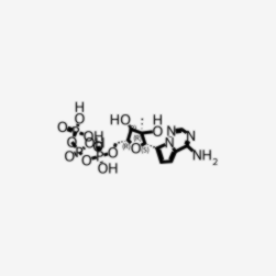 C[C@@]1(O)[C@H](O)[C@@H](COP(=O)(O)OP(=O)(O)OP(=O)(O)O)O[C@H]1c1ccc2c(N)ncnn12